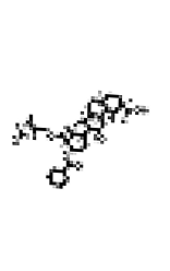 Cc1oc(=O)oc1COC1=N[C@@]23CC[C@]4(C)[C@H](C(=O)C=C5[C@@H]6C[C@@](C)(C(=O)O)CC[C@]6(C)CC[C@]54C)[C@@]2(C)CC[C@H](OC(=O)c2ccccc2)[C@@]13C